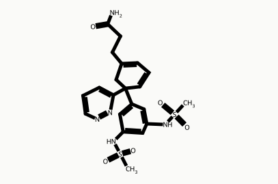 CS(=O)(=O)Nc1cc(NS(C)(=O)=O)cc(C2(c3cccnn3)C=CC=C(CCC(N)=O)C2)c1